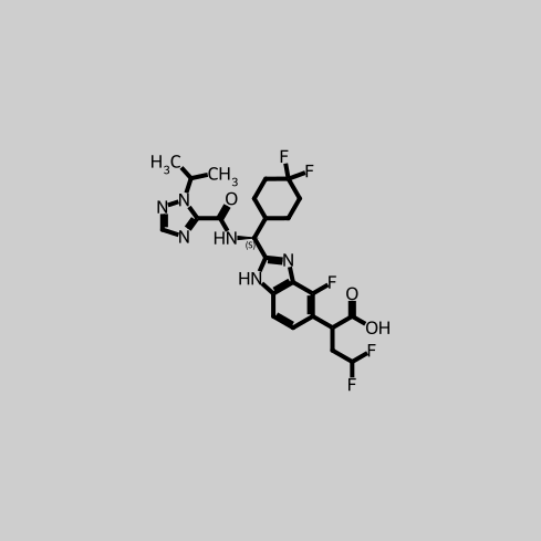 CC(C)n1ncnc1C(=O)N[C@H](c1nc2c(F)c(C(CC(F)F)C(=O)O)ccc2[nH]1)C1CCC(F)(F)CC1